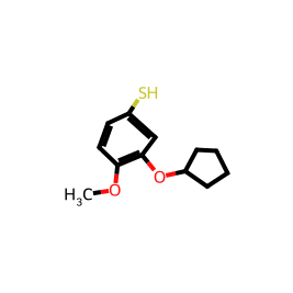 COc1ccc(S)cc1OC1CCCC1